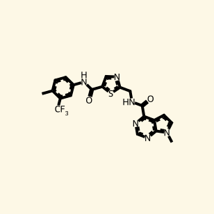 Cc1ccc(NC(=O)c2cnc(CNC(=O)c3ncnc4c3ccn4C)s2)cc1C(F)(F)F